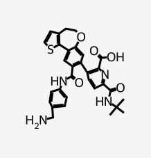 CC(C)(C)NC(=O)c1ccc(-c2cc3c(cc2C(=O)Nc2ccc(CN)cc2)-c2sccc2CCO3)c(C(=O)O)n1